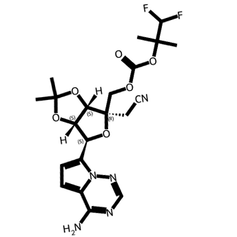 CC1(C)O[C@H]2[C@H](c3ccc4c(N)ncnn34)O[C@](CC#N)(COC(=O)OC(C)(C)C(F)F)[C@H]2O1